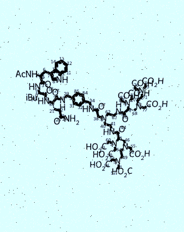 CC[C@@H](C)C(NC(=O)[C@H](Cc1c[nH]c2ccccc12)NC(C)=O)C(=O)N[C@@H](CCC(N)=O)C(=O)NCc1ccc(CNC(=O)CN(CCNC(=O)[C@@H](CN(CCN(CC(=O)O)CC(=O)O)CC(=O)O)N(CC(=O)O)CC(=O)O)CCNC(=O)[C@@H](CN(CCN(CC(=O)O)CC(=O)O)CC(=O)O)N(CC(=O)O)CC(=O)O)cc1